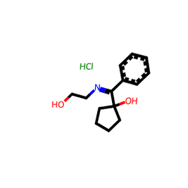 Cl.OCC/N=C(/c1ccccc1)C1(O)CCCC1